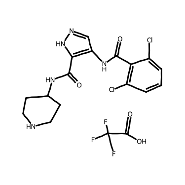 O=C(NC1CCNCC1)c1[nH]ncc1NC(=O)c1c(Cl)cccc1Cl.O=C(O)C(F)(F)F